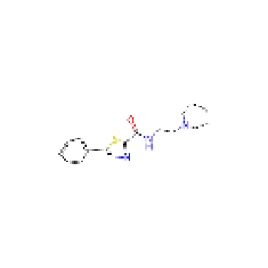 O=C(NCCN1CCCCC1)c1ncc(-c2ccccc2)s1